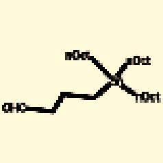 CCCCCCC[CH2][Sn]([CH2]CCC=O)([CH2]CCCCCCC)[CH2]CCCCCCC